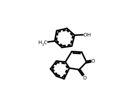 Cc1ccc(O)cc1.O=C1C=Cc2ccccc2C1=O